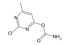 Cc1cc(OC(N)=O)nc(Cl)n1